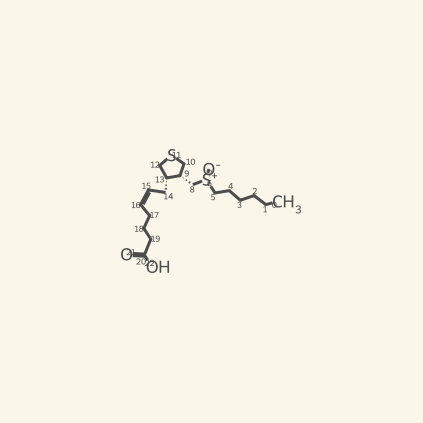 CCCCCC[S+]([O-])C[C@H]1CSC[C@H]1C/C=C\CCCC(=O)O